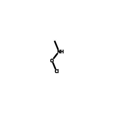 CNOCl